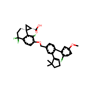 COc1ccc(F)c(-c2ccc(COc3ccc4c(c3F)[C@@]3(CCC4(F)F)C[C@@H]3C(=O)O)cc2C2=CCCC2(C)C)c1